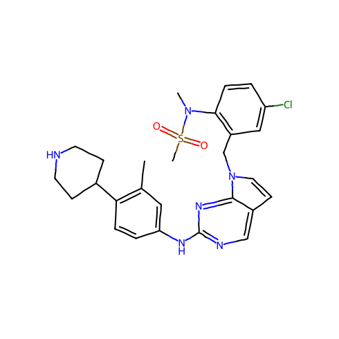 Cc1cc(Nc2ncc3ccn(Cc4cc(Cl)ccc4N(C)S(C)(=O)=O)c3n2)ccc1C1CCNCC1